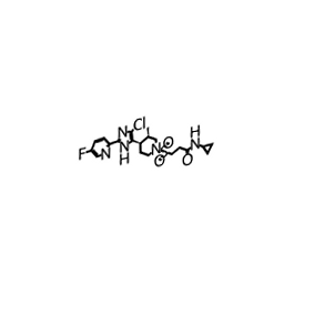 C[C@H]1CN(S(=O)(=O)CCC(=O)NC2CC2)CC[C@H]1c1[nH]c(-c2ccc(F)cn2)nc1Cl